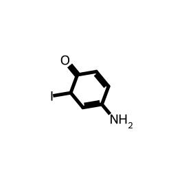 NC1=CC(I)C(=O)C=C1